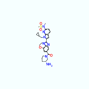 CN(c1ccc2cc(-c3nc4cc(C(=O)N5CCC[C@@H](N)C5)cc5c4n3CCO5)n(CC3CC3)c2n1)S(C)(=O)=O